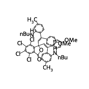 CCCCNc1cc(C)ccc1C(=CC1(C=C(c2ccc(OC)cc2)c2ccc(C)cc2NCCCC)OC(=O)c2c(Cl)c(Cl)c(Cl)c(Cl)c21)c1ccc(OC)cc1